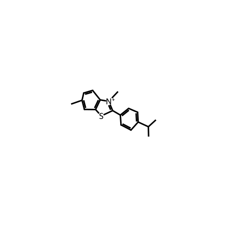 Cc1ccc2c(c1)sc(-c1ccc(C(C)C)cc1)[n+]2C